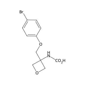 O=C(O)NC1(COc2ccc(Br)cc2)COC1